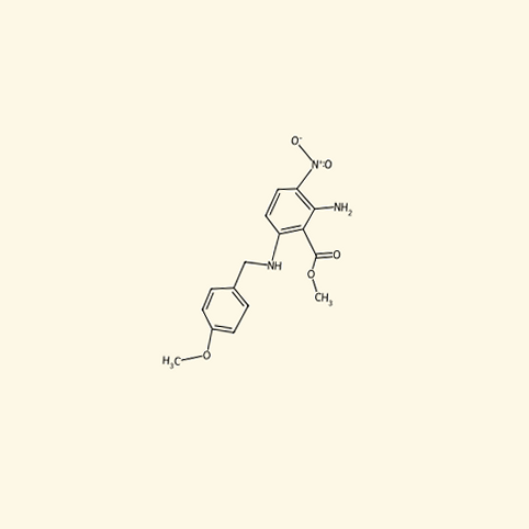 COC(=O)c1c(NCc2ccc(OC)cc2)ccc([N+](=O)[O-])c1N